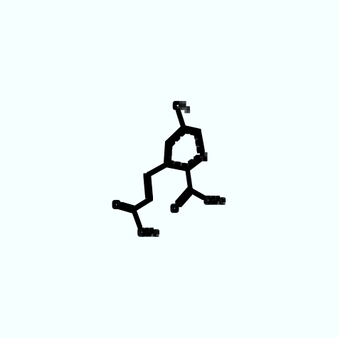 COC(=O)/C=C/c1cc(C)cnc1C(=O)OC